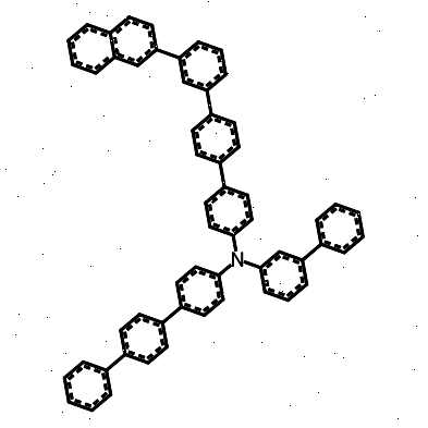 c1ccc(-c2ccc(-c3ccc(N(c4ccc(-c5ccc(-c6cccc(-c7ccc8ccccc8c7)c6)cc5)cc4)c4cccc(-c5ccccc5)c4)cc3)cc2)cc1